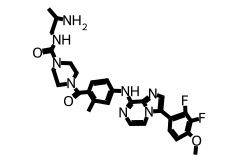 COc1ccc(-c2cnc3c(Nc4ccc(C(=O)N5CCN(C(=O)NCC(C)N)CC5)c(C)c4)nccn23)c(F)c1F